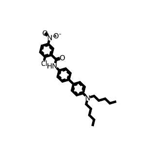 CCCCCN(CCCCC)c1ccc(-c2ccc(NC(=O)c3cc([N+](=O)[O-])ccc3Cl)cc2)cc1